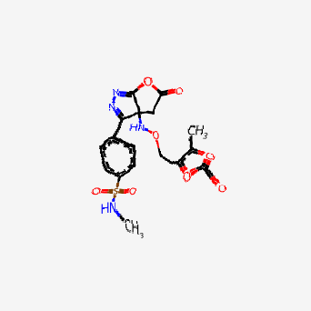 CNS(=O)(=O)c1ccc(C2=NN=C3OC(=O)CC32NOCc2oc(=O)oc2C)cc1